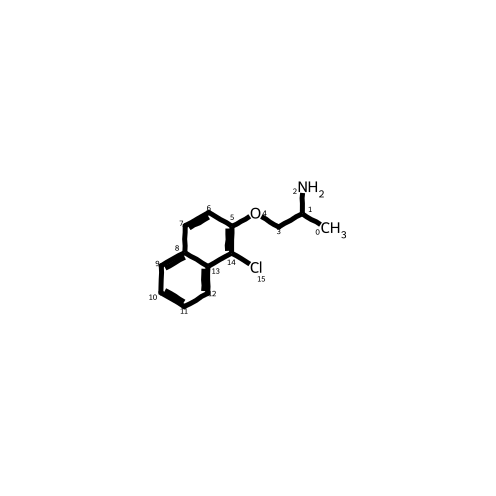 CC(N)COc1ccc2ccccc2c1Cl